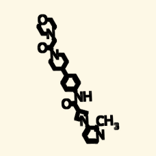 Cc1ncccc1N1CC(C(=O)Nc2ccc(C3CCN(C(=O)CN4CCOCC4)CC3)cc2)C1